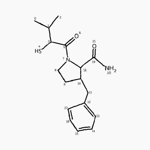 CC(C)C(S)C(=O)N1CCC(Cc2ccccc2)C1C(N)=O